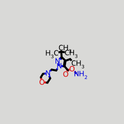 CCc1c(C(C)(C)C)nn(CCN2CCOCC2)c1C(=O)ON